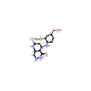 COc1cc(CO)ccc1Nc1cc(Cl)nc2cn[nH]c(=O)c12